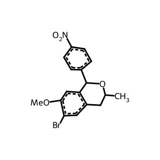 COc1cc2c(cc1Br)CC(C)OC2c1ccc([N+](=O)[O-])cc1